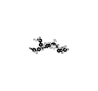 CCCC(C)(OCCC(C)(CC)CNC(=O)COc1cccc2c1C(=O)N(C1CCC(=O)NC1=O)C2=O)c1ccc(CNC(=O)N(c2ccc(-c3ccc(=O)n(C)c3)cc2)C2CCC(Nc3ccc(C#N)cn3)CC2)cc1